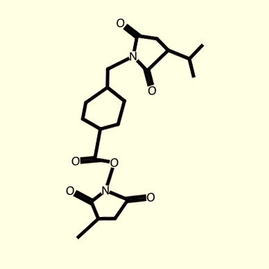 CC1CC(=O)N(OC(=O)C2CCC(CN3C(=O)CC(C(C)C)C3=O)CC2)C1=O